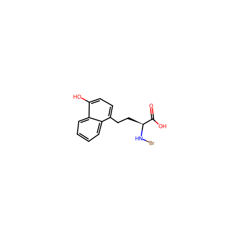 O=C(O)[C@H](CCc1ccc(O)c2ccccc12)NBr